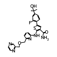 CC(C)(O)c1ccc(-c2cc(C(N)=O)c(Nc3cccc(COCc4cnccn4)n3)s2)c(F)c1